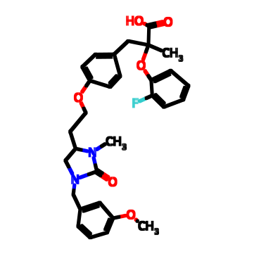 COc1cccc(CN2CC(CCOc3ccc(CC(C)(Oc4ccccc4F)C(=O)O)cc3)N(C)C2=O)c1